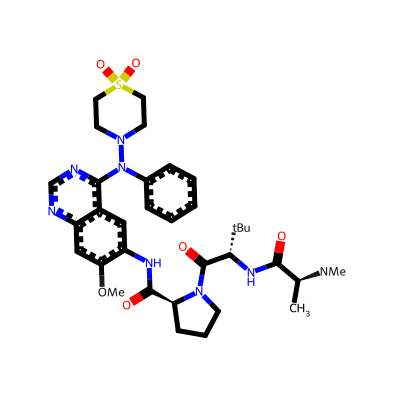 CN[C@@H](C)C(=O)N[C@H](C(=O)N1CCC[C@H]1C(=O)Nc1cc2c(N(c3ccccc3)N3CCS(=O)(=O)CC3)ncnc2cc1OC)C(C)(C)C